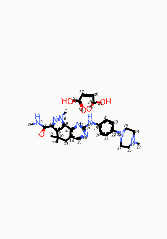 CNC(=O)c1nn(C)c2c1C(C)(C)Cc1cnc(Nc3ccc(N4CCN(C)CC4)cc3)nc1-2.O=C(O)/C=C\C(=O)O